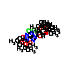 CC(C)[Si]1(C(C)C)OC[C@H]2O[C@@H](n3cnc4c(N(C(=O)OC(C)(C)C)C(=O)OC(C)(C)C)nc(Cl)nc43)[C@@H](Cl)[C@@H]2O[Si](C(C)C)(C(C)C)O1